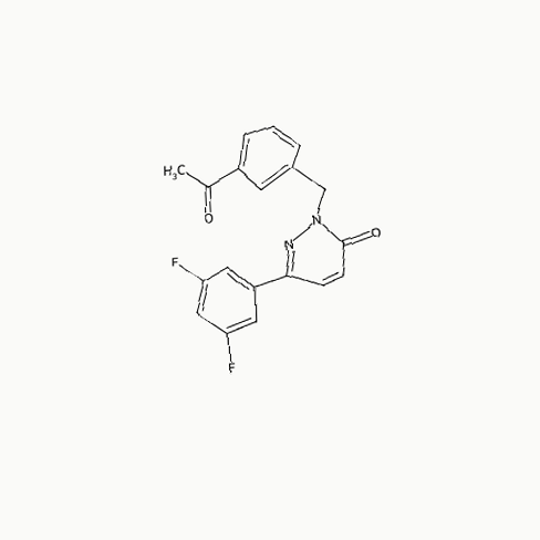 CC(=O)c1cccc(Cn2nc(-c3cc(F)cc(F)c3)ccc2=O)c1